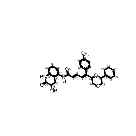 O=C(/C=C/C=C(\c1ccc(C(F)(F)F)cc1)C1COCC(C2=CC=CCC2)O1)Nc1cccc2c1CC(O)C(=O)N2